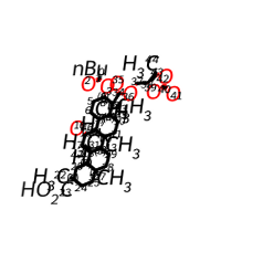 CCCCC(=O)O[C@H]1CC[C@@]2(C)[C@@H](CC[C@]3(C)[C@@H]2C(=O)C=C2[C@@H]4C[C@@](C)(C(=O)O)CC[C@]4(C)CC[C@]23C)[C@]1(C)C(=O)OCc1oc(=O)oc1C